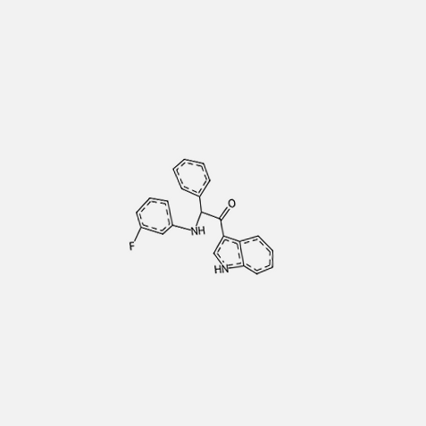 O=C(c1c[nH]c2ccccc12)C(Nc1cccc(F)c1)c1ccccc1